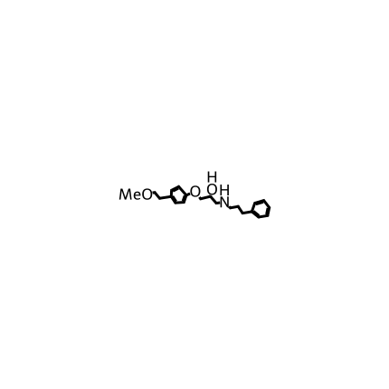 COCCc1ccc(OCC(O)CNCCCc2ccccc2)cc1